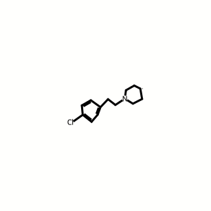 Clc1ccc(CCN2CC[CH]CC2)cc1